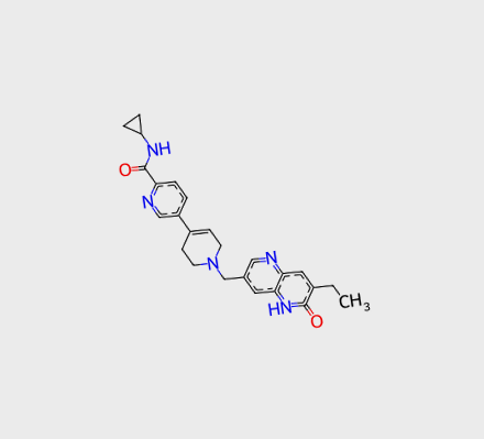 CCc1cc2ncc(CN3CC=C(c4ccc(C(=O)NC5CC5)nc4)CC3)cc2[nH]c1=O